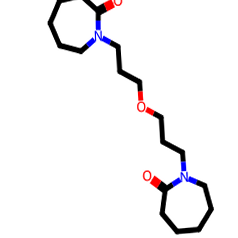 O=C1CCCCCN1CCCOCCCN1CCCCCC1=O